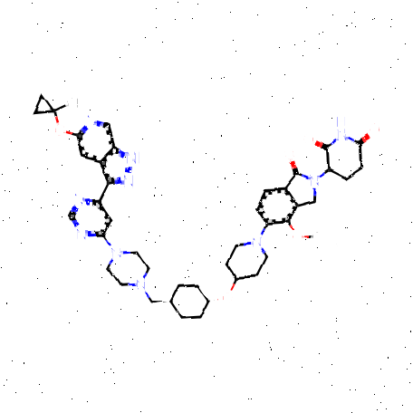 COc1c(N2CCC(O[C@H]3CC[C@H](CN4CCN(c5cc(-c6n[nH]c7cnc(OC8(C)CC8)cc67)ncn5)CC4)CC3)CC2)ccc2c1CN(C1CCC(=O)NC1=O)C2=O